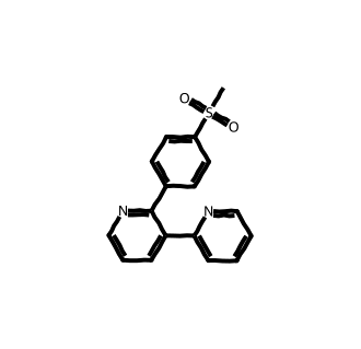 CS(=O)(=O)c1ccc(-c2ncccc2-c2ccccn2)cc1